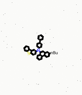 CCCCc1ccc2c(c1)cc(N(c1ccc(-c3ccccc3)cc1)c1ccc3sc4ccccc4c3c1)c1ccccc12